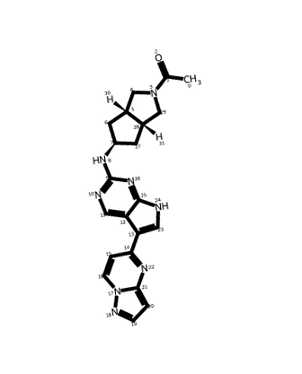 CC(=O)N1C[C@H]2C[C@H](Nc3ncc4c(-c5ccn6nccc6n5)c[nH]c4n3)C[C@H]2C1